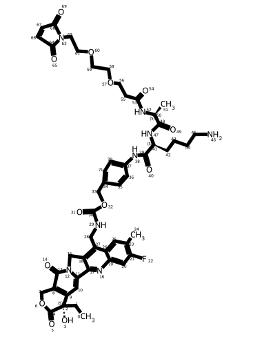 CC[C@@]1(O)C(=O)OCc2c1cc1n(c2=O)Cc2c-1nc1cc(F)c(C)cc1c2CNC(=O)OCc1ccc(NC(=O)[C@H](CCCCN)NC(=O)[C@H](C)NC(=O)CCOCCOCCN2C(=O)C=CC2=O)cc1